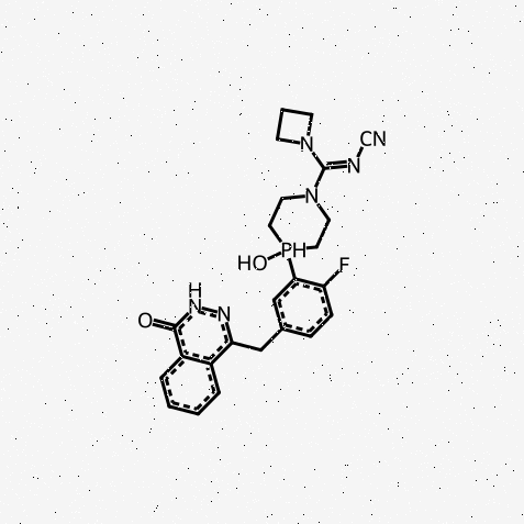 N#CN=C(N1CCC1)N1CC[PH](O)(c2cc(Cc3n[nH]c(=O)c4ccccc34)ccc2F)CC1